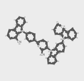 N#Cc1cc(-c2ccc(-n3c4ccccc4c4cccc(C#N)c43)cc2)ccc1-n1c2ccccc2c2ccc(-n3c4ccccc4c4ccccc43)cc21